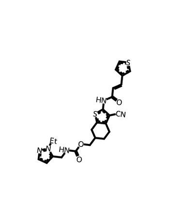 CCn1nccc1CNC(=O)OCC1CCc2c(sc(NC(=O)C=Cc3ccsc3)c2C#N)C1